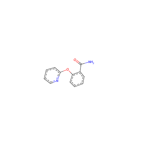 NC(=O)c1ccccc1Oc1ccccn1